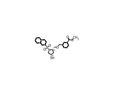 COC(=O)c1cccc(COC[C@@H]2C[C@H](S)CN2S(=O)(=O)c2ccc3ccccc3c2)c1